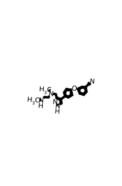 CNCCN(C)Cc1n[nH]cc1-c1ccc(Oc2cccc(C#N)c2)cc1